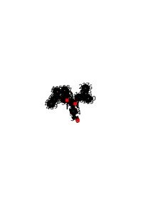 C=CC(=C)c1ccc(-c2nc(-c3ccc4c(c3)c3ccccc3n4-c3ccccc3)nc(-c3ccc(-n4c5ccccc5c5cc6ccccc6cc54)c4c3oc3ccccc34)n2)cc1